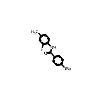 Cc1ccc(NC(=O)c2ccc(C(C)(C)C)cc2)c(F)c1